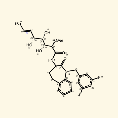 CO[C@@H](C(=O)NC1CCc2ccccc2N(Cc2cc(F)cc(F)c2)C1=O)[C@H](O)[C@@H](O)[C@H](O)/C=C/C(C)(C)C